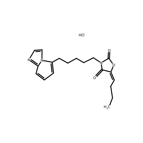 CCCC=C1OC(=O)N(CCCCCc2cccc3nccn23)C1=O.Cl